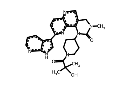 CN1Cc2cnc3ccc(-c4c[nH]c5ncccc45)nc3c2N(C2CCN(C(=O)C(C)(C)O)CC2)C1=O